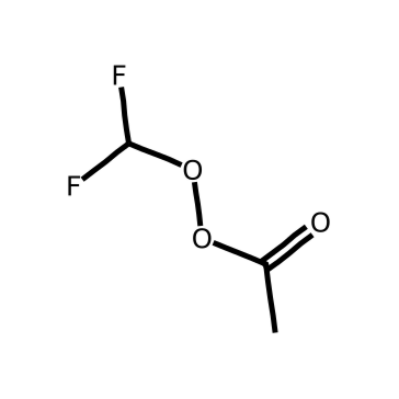 CC(=O)OOC(F)F